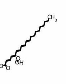 CCCCCCCCCC=CC=CC=CC(=CC=CC(=O)O)OO